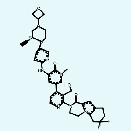 C#C[C@H]1CN(C2COC2)CCN1c1ccc(Nc2cc(-c3ccnc(N4CCn5c(cc6c5CC(F)(F)CC6)C4=O)c3CO)cn(C)c2=O)nc1